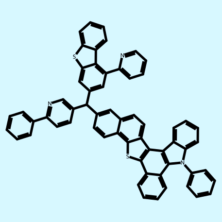 c1ccc(-c2ccc(C(c3ccc4c(ccc5c4sc4c6ccccc6c6c(c7ccccc7n6-c6ccccc6)c54)c3)c3cc(-c4ccccn4)c4c(c3)sc3ccccc34)cn2)cc1